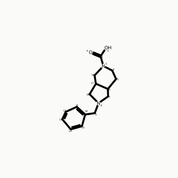 O=C(O)N1CCC2CN(Cc3ccccc3)CC2C1